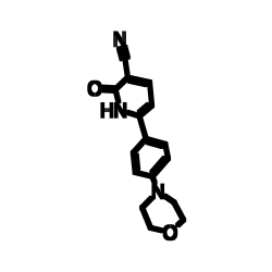 N#Cc1ccc(-c2ccc(N3CCOCC3)cc2)[nH]c1=O